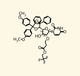 COc1ccc(C(OC(C(=O)c2ccccc2)[C@H]2O[C@@H](n3ccc(=O)[nH]c3=O)[C@H](OCCC(=O)OCC(F)(F)F)[C@@H]2O)(c2ccccc2)c2ccc(OC)cc2)cc1